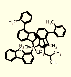 Cc1ccccc1-c1cccc2c1C=C(CC(C)C)[CH]2[Zr]([Cl])([Cl])([c]1cccc2c1[SiH2]c1ccccc1-2)[CH]1C(CC(C)C)=Cc2c(-c3ccccc3C)cccc21